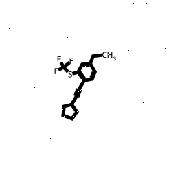 CCc1ccc(C#CC2CCCC2)c(SC(F)(F)F)c1